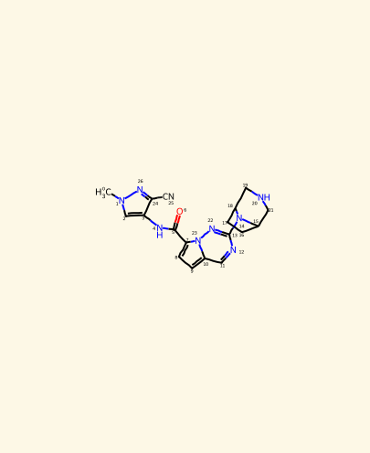 Cn1cc(NC(=O)c2ccc3cnc(N4C5CCC4CNC5)nn23)c(C#N)n1